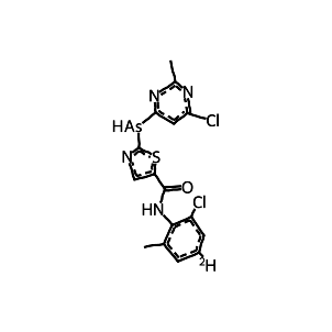 [2H]c1cc(C)c(NC(=O)c2cnc([AsH]c3cc(Cl)nc(C)n3)s2)c(Cl)c1